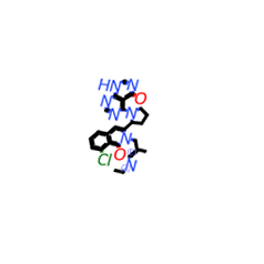 C/C=N\C=C(/C)Cn1c(C2CCCN2c2ncnc3[nH]cnc(=O)c23)cc2cccc(Cl)c2c1=O